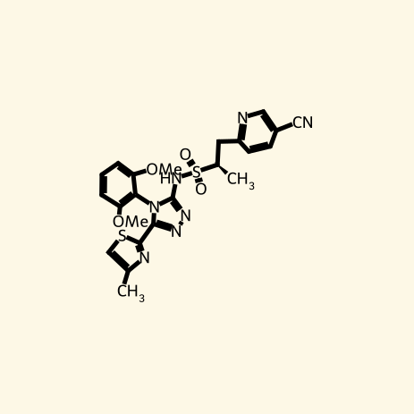 COc1cccc(OC)c1-n1c(NS(=O)(=O)[C@H](C)Cc2ccc(C#N)cn2)nnc1-c1nc(C)cs1